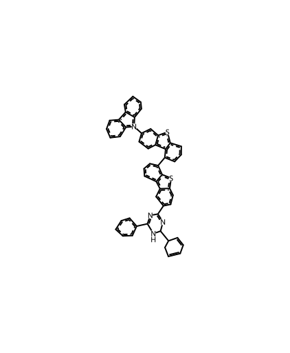 C1=CCC(C2N=C(c3ccc4sc5c(-c6cccc7sc8cc(-n9c%10ccccc%10c%10ccccc%109)ccc8c67)cccc5c4c3)N=C(c3ccccc3)N2)C=C1